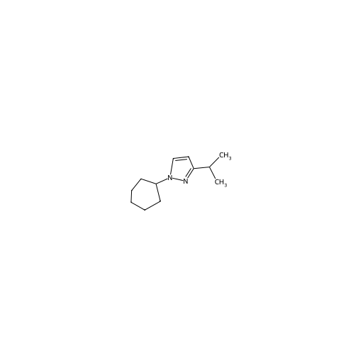 CC(C)c1ccn(C2CCCCC2)n1